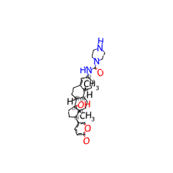 C[C@]12CC[C@H](NC(=O)N3CCNCC3)C=C1CC[C@@H]1[C@@H]2CC[C@]2(C)[C@@H](c3ccc(=O)oc3)CC[C@]12O